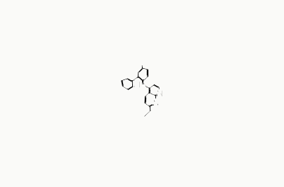 CCCc1ccc2c(Nc3ccc(C)cc3-c3ccccc3)ccnc2n1